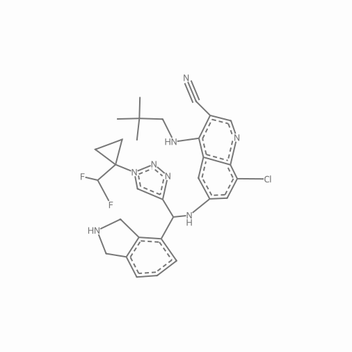 CC(C)(C)CNc1c(C#N)cnc2c(Cl)cc(NC(c3cn(C4(C(F)F)CC4)nn3)c3cccc4c3CNC4)cc12